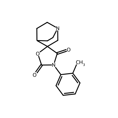 Cc1ccccc1N1C(=O)OC2(CN3CCC2CC3)C1=O